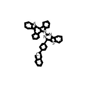 c1ccc2cc(-c3ccc(-c4nc(-n5c6ccccc6c6c7sc8ccccc8c7c7ccccc7c65)nc5c4sc4ccccc45)cc3)ccc2c1